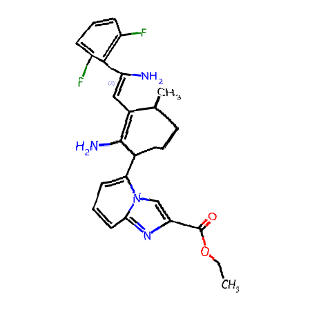 CCOC(=O)c1cn2c(C3CCC(C)C(/C=C(\N)c4c(F)cccc4F)=C3N)cccc2n1